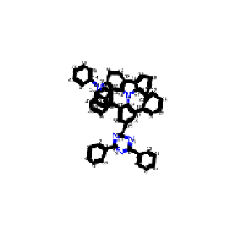 c1ccc(-c2nc(-c3ccccc3)nc(-c3cc(-c4ccccc4)c(-n4c5ccccc5c5ccc6c(c7ccccc7n6-c6ccccc6)c54)c(-c4ccccc4)c3)n2)cc1